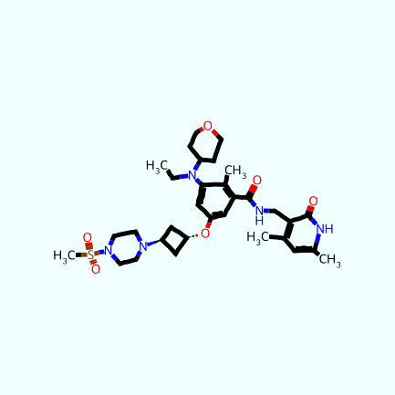 CCN(c1cc(O[C@H]2C[C@H](N3CCN(S(C)(=O)=O)CC3)C2)cc(C(=O)NCc2c(C)cc(C)[nH]c2=O)c1C)C1CCOCC1